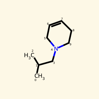 CC(C)CN1CC=CCC1